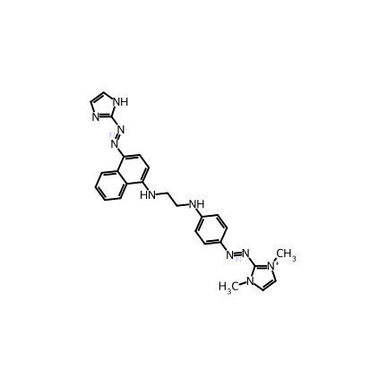 Cn1cc[n+](C)c1/N=N/c1ccc(NCCNc2ccc(/N=N/c3ncc[nH]3)c3ccccc23)cc1